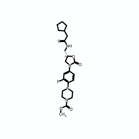 COC(=O)N1CCN(c2ccc(N3C[C@H](CNC(=S)CC4CCCC4)OC3=O)cc2F)CC1